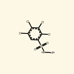 CCCNS(=O)(=O)c1cc(Cl)c(Cl)c(Cl)c1Cl